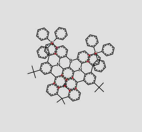 CC(C)(C)c1cc(-c2ccccc2)c(N2c3cc([Si](c4ccccc4)(c4ccccc4)c4ccccc4)ccc3B3c4ccc([Si](c5ccccc5)(c5ccccc5)c5ccccc5)cc4N(c4c(-c5ccccc5)cc(C(C)(C)C)cc4-c4ccccc4)c4cc(N5c6ccccc6C(C)(C)c6ccccc65)cc2c43)c(-c2ccccc2)c1